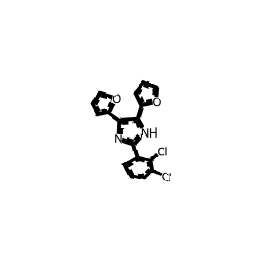 Clc1cccc(-c2nc(-c3ccco3)c(-c3ccco3)[nH]2)c1Cl